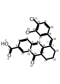 O=C(O)c1ccc2nc3c(c(=O)n2c1)CCC/C3=C/c1ccc(Cl)c(Cl)c1